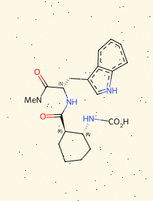 CNC(=O)[C@H](Cc1c[nH]c2ccccc12)NC(=O)[C@@H]1CCCC[C@H]1NC(=O)O